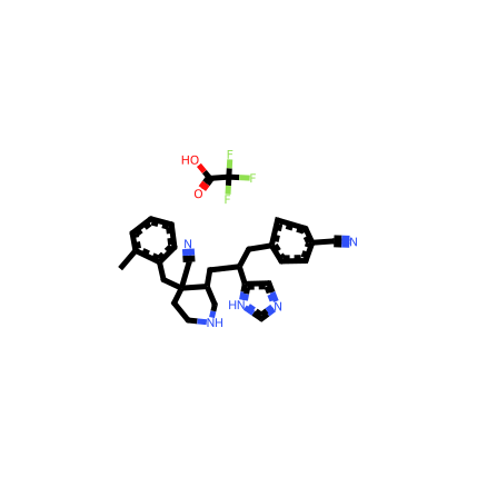 Cc1ccccc1CC1(C#N)CCNCC1CC(Cc1ccc(C#N)cc1)c1cnc[nH]1.O=C(O)C(F)(F)F